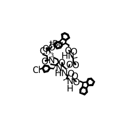 C[C@H](NC(=O)OCC1c2ccccc2-c2ccccc21)C(=O)N[C@@H](COC(=O)[C@H](C)NC(=O)OCC1c2ccccc2-c2ccccc21)C(=O)N(C)[C@@]1(Cc2ccc(Cl)cc2)CCCN(C(=O)[C@@H](CC(=O)OC(C)(C)C)CC(F)(F)F)C1